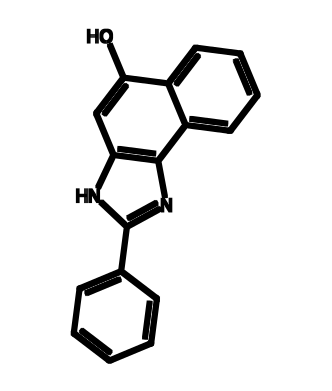 Oc1cc2[nH]c(-c3ccccc3)nc2c2ccccc12